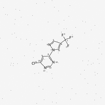 FC(F)(F)c1cnn(-c2cc(Cl)ncn2)c1